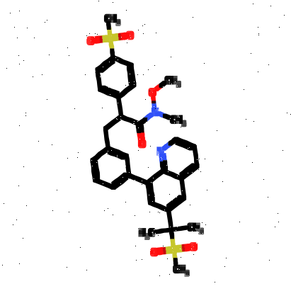 CON(C)C(=O)C(Cc1cccc(-c2cc(C(C)(C)S(C)(=O)=O)cc3cccnc23)c1)c1ccc(S(C)(=O)=O)cc1